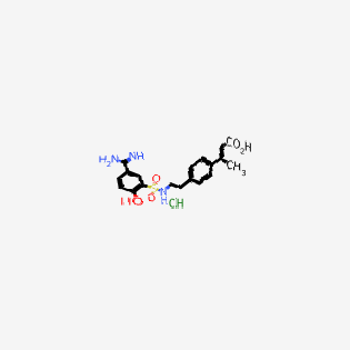 CC(=CC(=O)O)c1ccc(CCNS(=O)(=O)c2cc(C(=N)N)ccc2O)cc1.Cl